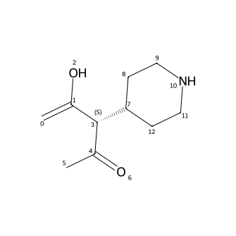 C=C(O)[C@@H](C(C)=O)C1CCNCC1